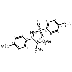 COc1ccc(C(NS(=O)(=O)c2ccc([N+](=O)[O-])cc2)C(OC)OC)cc1